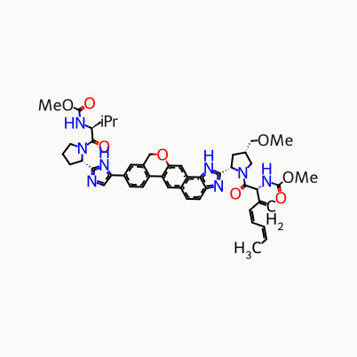 C=C(/C=C\C=C/C)[C@@H](NC(=O)OC)C(=O)N1C[C@@H](COC)C[C@H]1c1nc2ccc3cc4c(cc3c2[nH]1)OCc1cc(-c2cnc([C@@H]3CCCN3C(=O)[C@@H](NC(=O)OC)C(C)C)[nH]2)ccc1-4